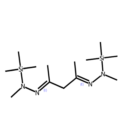 C/C(C/C(C)=N/N(C)[Si](C)(C)C)=N\N(C)[Si](C)(C)C